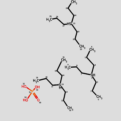 CCC[SiH](CCC)CCC.CCC[SiH](CCC)CCC.CCC[SiH](CCC)CCC.O=P(O)(O)O